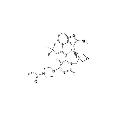 C=CC(=O)N1CCN(c2nc(=O)n3c4c(c(-c5cccc6sc(N)c(C#N)c56)c(C(F)(F)F)cc24)SCC2(COC2)C3)CC1